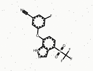 N#Cc1cc(F)cc(Oc2ccc(S(=O)(=O)C(F)(F)F)c3cn[nH]c23)c1